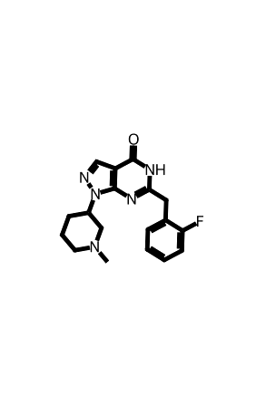 CN1CCCC(n2ncc3c(=O)[nH]c(Cc4ccccc4F)nc32)C1